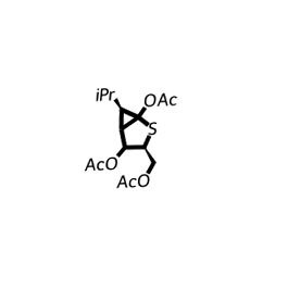 CC(=O)OC[C@@H]1SC2(OC(C)=O)C(C1OC(C)=O)[C@H]2C(C)C